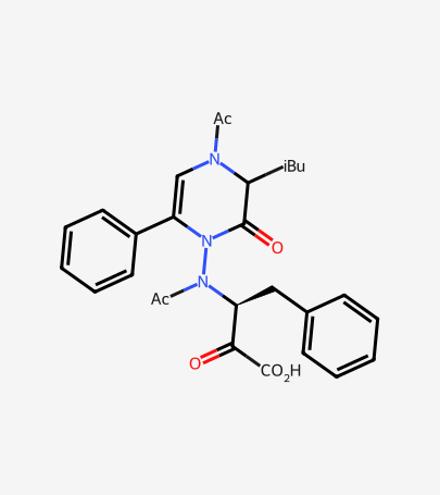 CCC(C)C1C(=O)N(N(C(C)=O)[C@@H](Cc2ccccc2)C(=O)C(=O)O)C(c2ccccc2)=CN1C(C)=O